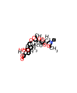 CC(=O)OC1CC(O[C@H]2CC[C@@]3(C)[C@H](CC[C@@H]4[C@@H]3C[C@@H](O)[C@]3(C)[C@@H](C5=CC(=O)OC5)CC[C@]43O)C2)OC(C)C1O[C@H]1C[C@H](OC(C)=O)[C@H](OC2CCN(C3CCC3)CC(C)O2)[C@@H](C)O1